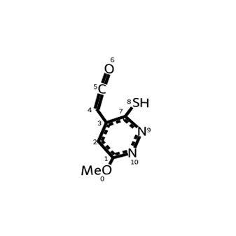 COc1cc(C=C=O)c(S)nn1